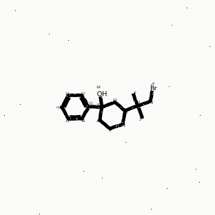 CC(C)(CBr)C1CCCC(O)(c2ccccc2)C1